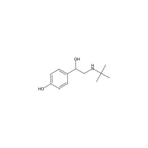 CC(C)(C)NCC(O)c1c[c]c(O)cc1